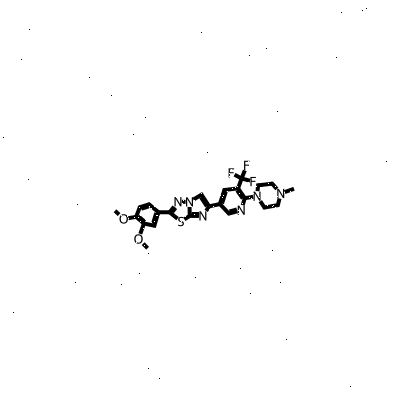 COc1ccc(-c2nn3cc(-c4cnc(N5CCN(C)CC5)c(C(F)(F)F)c4)nc3s2)cc1OC